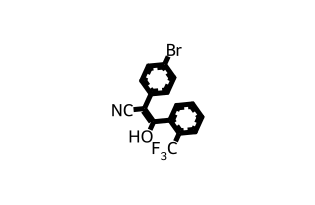 N#C/C(=C(\O)c1ccccc1C(F)(F)F)c1ccc(Br)cc1